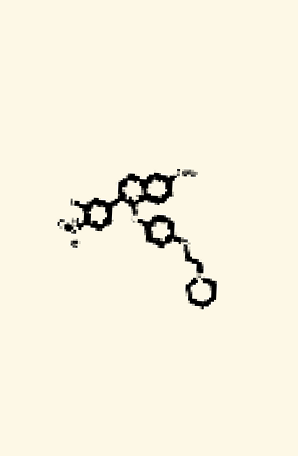 COc1ccc2c(Oc3ccc(OCCN4CCCCC4)cc3)c(-c3ccc([SH](=O)=O)c(F)c3)ccc2c1